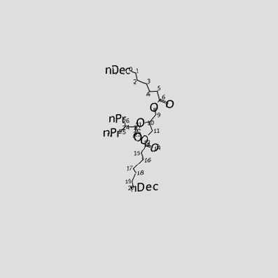 CCCCCCCCCCCCCCCC(=O)OCC(COC(=O)CCCCCCCCCCCCCCC)OC(=O)C(CCC)CCC